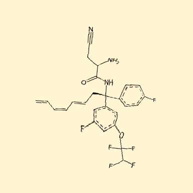 C=C/C=C\C=C\C[C@@](NC(=O)C(N)CC#N)(c1ccc(F)cc1)c1cc(F)cc(OC(F)(F)C(F)F)c1